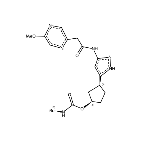 CC[C@H](C)NC(=O)O[C@@H]1CC[C@H](c2cc(NC(=O)Cc3cnc(OC)cn3)n[nH]2)C1